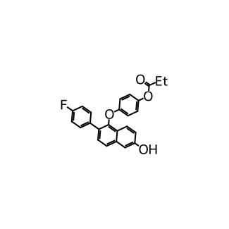 CCC(=O)Oc1ccc(Oc2c(-c3ccc(F)cc3)ccc3cc(O)ccc23)cc1